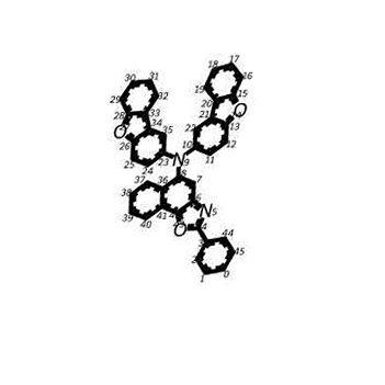 c1ccc(-c2nc3cc(N(c4ccc5oc6ccccc6c5c4)c4ccc5oc6ccccc6c5c4)c4ccccc4c3o2)cc1